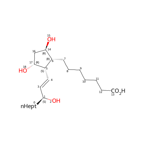 CCCCCCC[C@H](O)C=C[C@H]1[C@@H](CCCCCCC(=O)O)[C@H](O)C[C@H]1O